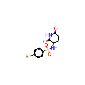 O=C1CCC(NS(=O)(=O)c2ccc(Br)cc2)C(=O)N1